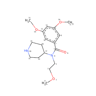 COCCN(C(=O)c1cc(OC)cc(OC)c1)C1CCNCC1